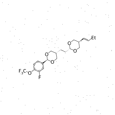 CCC=C[C@H]1CO[C@H](CC[C@H]2CO[C@H](c3ccc(OC(F)(F)F)c(F)c3)OC2)OC1